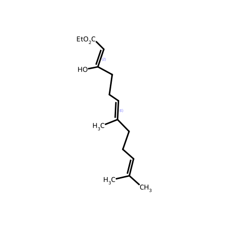 CCOC(=O)/C=C(\O)CC/C=C(\C)CCC=C(C)C